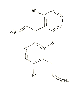 C=CCc1c(Br)cccc1Sc1cccc(Br)c1CC=C